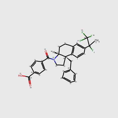 CC(F)(c1ccc2c(c1)CC[C@H]1N(C(=O)c3ccc(C(=O)O)cc3)CC[C@@]21Cc1ccccc1)C(F)(F)F